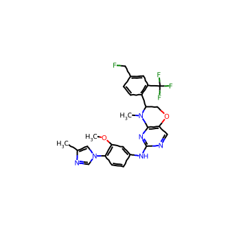 COc1cc(Nc2ncc3c(n2)N(C)C(c2ccc(CF)cc2C(F)(F)F)CO3)ccc1-n1cnc(C)c1